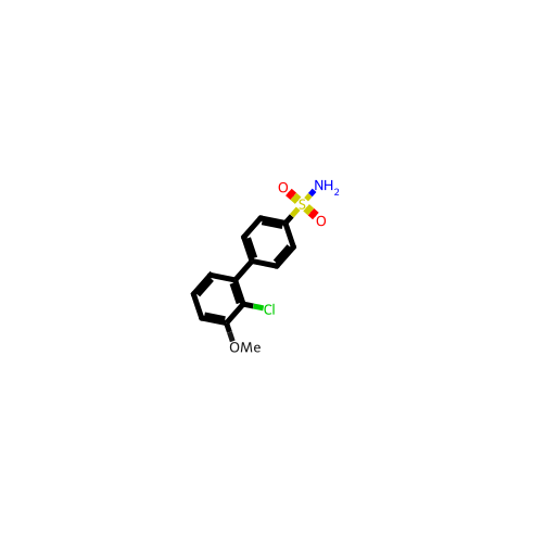 COc1cc[c]c(-c2ccc(S(N)(=O)=O)cc2)c1Cl